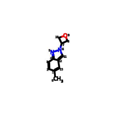 Cc1ccc2nn(C3COC3)cc2c1